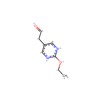 CCOc1ncc(CC=O)cn1